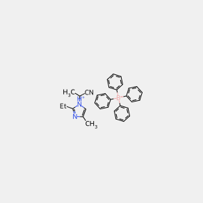 CCC1=NC(C)=C[NH+]1C(C)C#N.c1ccc([B-](c2ccccc2)(c2ccccc2)c2ccccc2)cc1